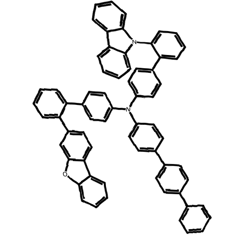 c1ccc(-c2ccc(-c3ccc(N(c4ccc(-c5ccccc5-c5ccc6c(c5)oc5ccccc56)cc4)c4ccc(-c5ccccc5-n5c6ccccc6c6ccccc65)cc4)cc3)cc2)cc1